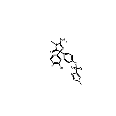 CN1C(=O)C(c2ccc(OS(=O)(=O)c3cn(C)cn3)cc2)(c2ccc(F)c(Br)c2)N=C1N